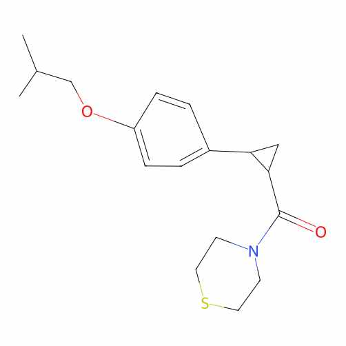 CC(C)COc1ccc(C2CC2C(=O)N2CCSCC2)cc1